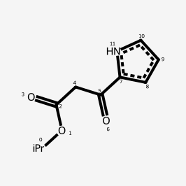 CC(C)OC(=O)CC(=O)c1ccc[nH]1